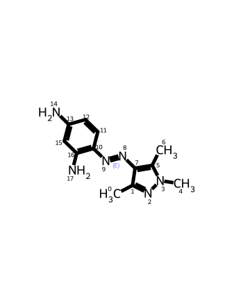 Cc1nn(C)c(C)c1/N=N/c1ccc(N)cc1N